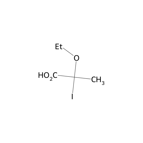 CCOC(C)(I)C(=O)O